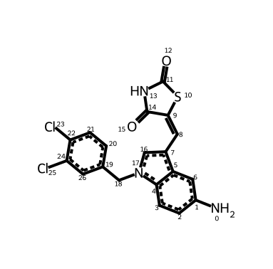 Nc1ccc2c(c1)c(/C=C1/SC(=O)NC1=O)cn2Cc1ccc(Cl)c(Cl)c1